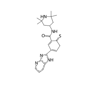 CC1(C)CC(NC(=O)C2=CC(c3nc4ncccc4[nH]3)=CCC2=S)CC(C)(C)N1